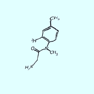 [2H]c1cc(C)ccc1N(C)C(=O)CN